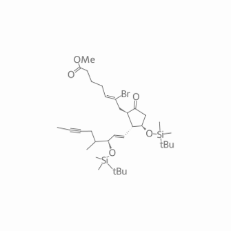 CC#CCC(C)[C@@H](/C=C/[C@H]1[C@H](O[Si](C)(C)C(C)(C)C)CC(=O)[C@@H]1CC(Br)=CCCCC(=O)OC)O[Si](C)(C)C(C)(C)C